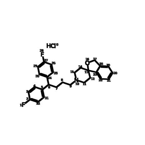 Cl.Fc1ccc(C(CCCN2CCC3(CC2)OCc2ccccc23)c2ccc(F)cc2)cc1